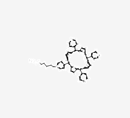 O=C(O)CCCCC[n+]1ccc(-c2c3nc(c(-c4ccncc4)c4ccc([nH]4)c(-c4ccncc4)c4nc(c(-c5ccncc5)c5ccc2[nH]5)C=C4)C=C3)cc1